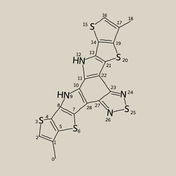 Cc1csc2c1sc1c2[nH]c2c3[nH]c4c5scc(C)c5sc4c3c3nsnc3c21